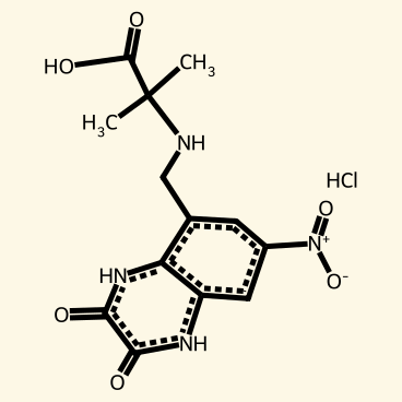 CC(C)(NCc1cc([N+](=O)[O-])cc2[nH]c(=O)c(=O)[nH]c12)C(=O)O.Cl